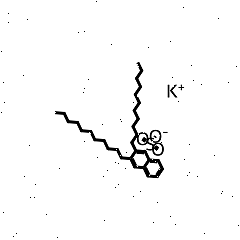 CCCCCCCCCCCc1cc2ccccc2c(S(=O)(=O)[O-])c1CCCCCCCCCCC.[K+]